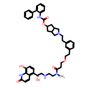 CN(CCNC[C@H](O)c1ccc(O)c2[nH]c(=O)ccc12)C(=O)CCOCCc1cccc(CCN2CC3CC(OC(=O)Nc4ccccc4-c4ccccc4)CC3C2)c1